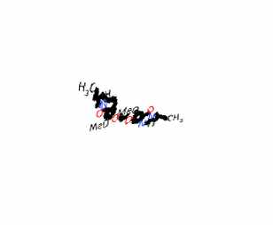 C/C=C/C1=CN2C(=O)c3cc(OC)c(OCCCOc4cc5c(cc4OC)C(=O)N4C=C(/C=C/C)C[C@H]4/C=C/C5)cc3N=C[C@@H]2C1